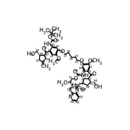 C=C1CC(C(=O)c2cc(OC)c(OCCCCCOc3cc(NC(=O)OC(C)(C)C)c(C(=O)C4CC(=C)C[C@H]4CO)cc3OC)cc2NC(=O)OC[C@@H](C)SSc2ncccc2[N+](=O)[O-])[C@H](CO)C1